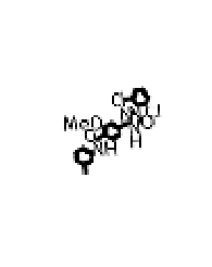 COc1cc(-c2nn(-c3c(Cl)cccc3Cl)c(=O)[nH]2)ccc1C(=O)Nc1cccc(C)c1